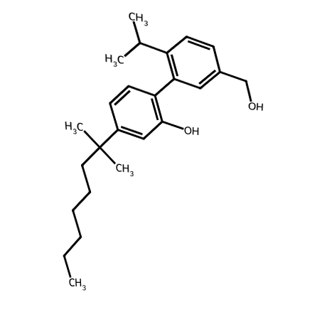 CCCCCCC(C)(C)c1ccc(-c2cc(CO)ccc2C(C)C)c(O)c1